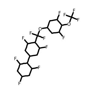 FC1CC(F)C(C2CC(F)C(C(F)(F)OC3CC(F)C(OC(F)(F)F)C(F)C3)C(F)C2)C(F)C1